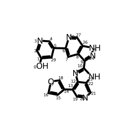 Oc1cncc(-c2cc3c(-c4nc5c(-c6ccoc6)cncc5[nH]4)n[nH]c3cn2)c1